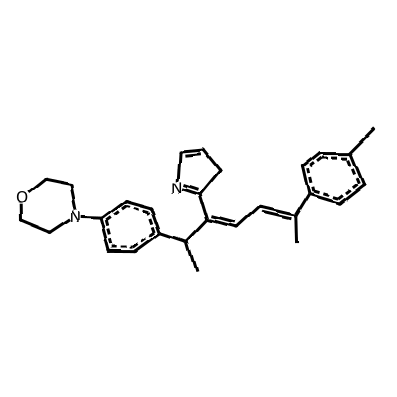 C/C(=C\C=C(/C1=NC=CC1)C(C)c1ccc(N2CCOCC2)cc1)c1ccc(C)cc1